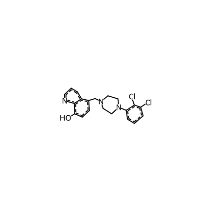 Oc1ccc(CN2CCN(c3cccc(Cl)c3Cl)CC2)c2cccnc12